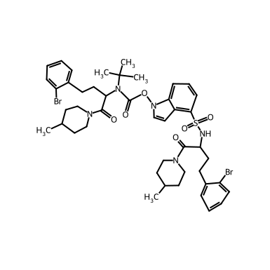 CC1CCN(C(=O)C(CCc2ccccc2Br)NS(=O)(=O)c2cccc3c2ccn3OC(=O)N(C(CCc2ccccc2Br)C(=O)N2CCC(C)CC2)C(C)(C)C)CC1